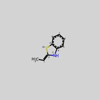 CC=C1Nc2ccccc2S1